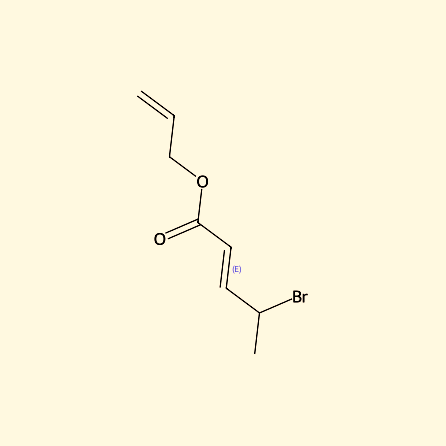 C=CCOC(=O)/C=C/C(C)Br